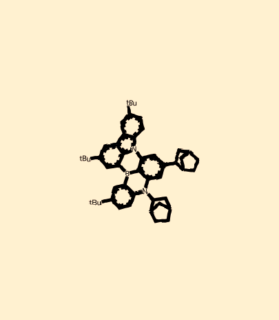 CC(C)(C)c1ccc2c(c1)B1c3c(cc(C4CC5CCC4C5)cc3-n3c4ccc(C(C)(C)C)cc4c4cc(C(C)(C)C)cc1c43)N2C1CC2CCC1C2